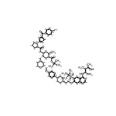 CC(=N)/C(C)=C(\N)Nc1ncnc2cc(OCCN3CCN(c4ncc(OC[C@H]5CN(C[C@H]6CN(C(=O)OC(C)(C)C)[C@H](C)CN6CC(=O)N6CCC[C@H]6c6nc(C(=O)c7ccc(F)cc7)cs6)CCO5)cn4)CC3)c(S(=O)(=O)C(C)(C)C)cc12